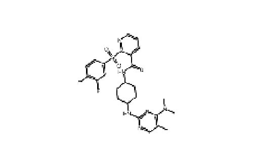 Cc1cnc(NC2CCC(NC(=O)c3cccnc3S(=O)(=O)c3ccc(F)c(F)c3)CC2)nc1N(C)C